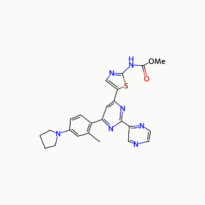 COC(=O)Nc1ncc(-c2cc(-c3ccc(N4CCCC4)cc3C)nc(-c3cnccn3)n2)s1